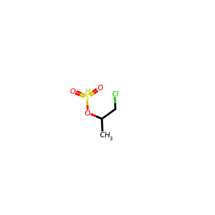 CC(CCl)O[SH](=O)=O